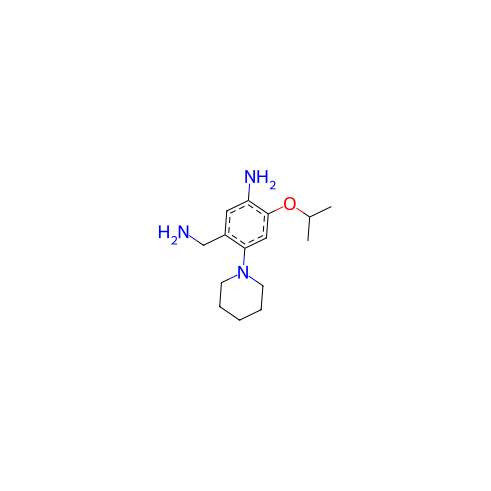 CC(C)Oc1cc(N2CCCCC2)c(CN)cc1N